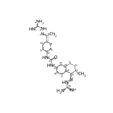 CC(=NNC(=N)N)c1ccc(NC(=O)Nc2ccc3c(c2)CCC(C)C3=NNC(=N)N)cc1